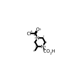 CC1CN(C(=O)Cl)CCN1C(=O)O